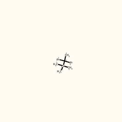 CC(C)C(C)(C(C)C)[Si](C)(C)C